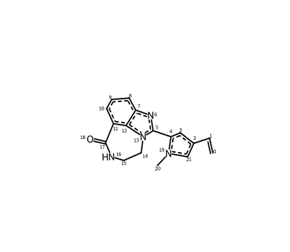 C=Cc1cc(-c2nc3cccc4c3n2CCNC4=O)n(C)c1